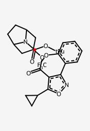 CC(C)(C)OC(=O)N1C2CCC1CC(OC(=O)c1c(-c3ccccc3OC(F)(F)F)noc1C1CC1)C2